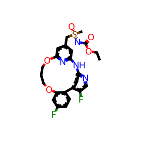 CCOC(=O)N=S(C)(=O)Cc1cc2nc(c1)OCCCOc1cc(F)ccc1-c1cc(ncc1F)N2